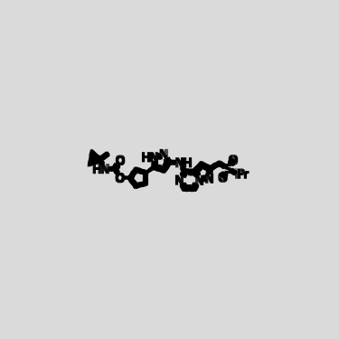 CC(C)S(=O)(=O)Cc1cc2c(Nc3cc([C@H]4CC[C@@H](OC(=O)NC5(C)CC5)C4)[nH]n3)nccn2n1